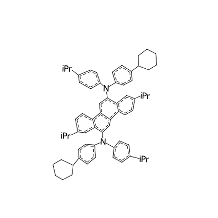 CC(C)c1ccc(N(c2ccc(C3CCCCC3)cc2)c2cc3c4ccc(C(C)C)cc4c(N(c4ccc(C(C)C)cc4)c4ccc(C5CCCCC5)cc4)cc3c3ccc(C(C)C)cc23)cc1